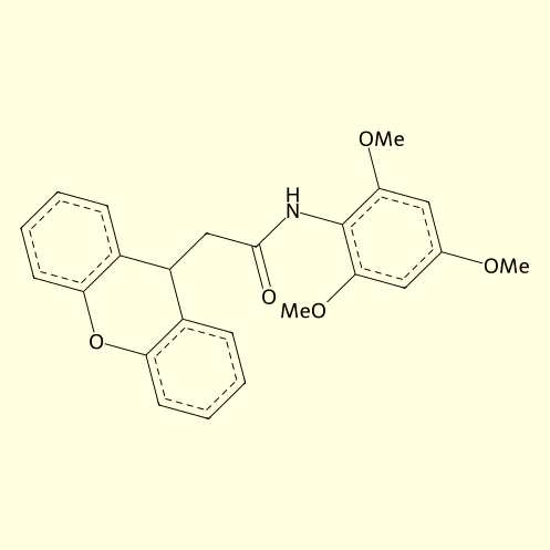 COc1cc(OC)c(NC(=O)CC2c3ccccc3Oc3ccccc32)c(OC)c1